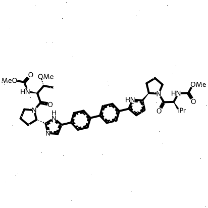 COC(=O)N[C@H](C(=O)N1CCC[C@@H]1c1ccc(-c2ccc(-c3ccc(-c4cnc([C@@H]5CCCN5C(=O)[C@@H](NC(=O)OC)[C@@H](C)OC)[nH]4)cc3)cc2)[nH]1)C(C)C